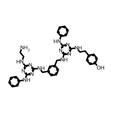 NCCNc1nc(NCc2cccc(CNc3nc(NCCc4ccc(O)cc4)nc(Nc4ccccc4)n3)c2)nc(Nc2ccccc2)n1